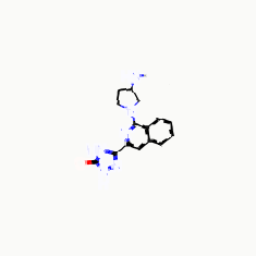 O=C(O)NC1CCN(c2nc(-c3n[nH]c(=O)[nH]3)cc3ccccc23)C1